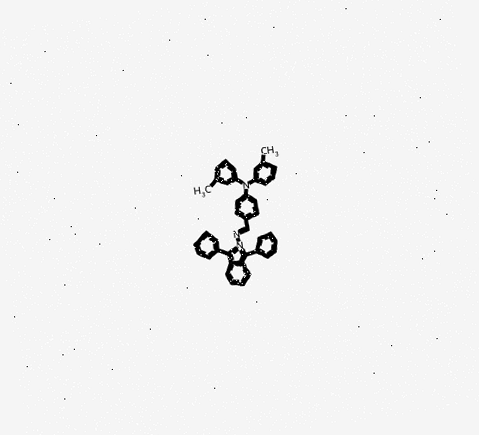 Cc1cccc(N(c2ccc(C=Nn3c(-c4ccccc4)c4ccccc4c3-c3ccccc3)cc2)c2cccc(C)c2)c1